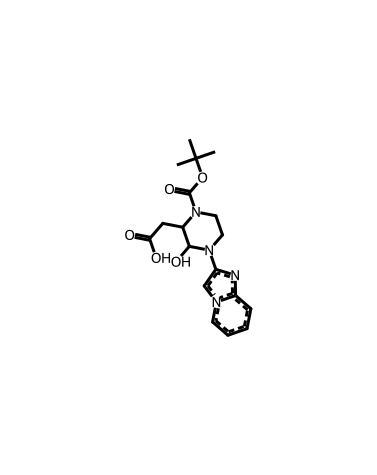 CC(C)(C)OC(=O)N1CCN(c2cn3ccccc3n2)C(O)C1CC(=O)O